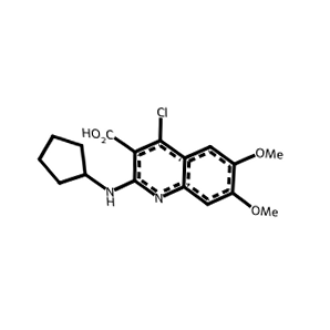 COc1cc2nc(NC3CCCC3)c(C(=O)O)c(Cl)c2cc1OC